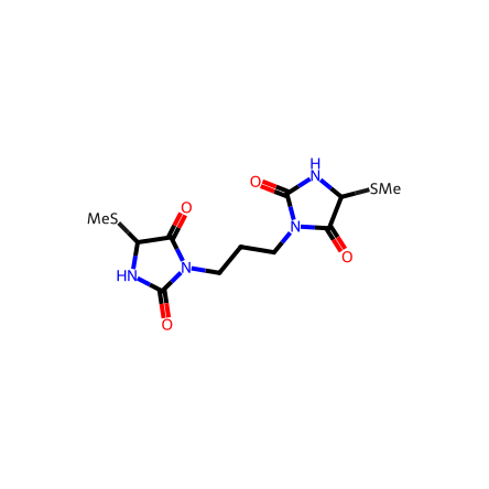 CSC1NC(=O)N(CCCN2C(=O)NC(SC)C2=O)C1=O